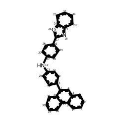 c1ccc2c(c1)cc(-c1ccc(Nc3ccc(-c4nc5ccccc5o4)cc3)cc1)c1ccccc12